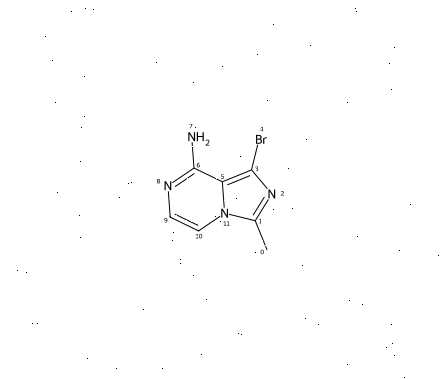 Cc1nc(Br)c2c(N)nccn12